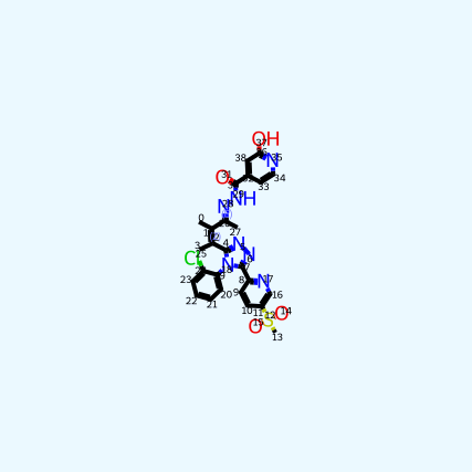 CC(=C(\C)c1nnc(-c2ccc(S(C)(=O)=O)cn2)n1-c1ccccc1Cl)/C(C)=N/NC(=O)c1ccnc(O)c1